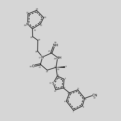 C[C@@]1(c2cc(-c3cccc(C#N)c3)cs2)CC(=O)N(CCCc2ccccn2)C(=N)N1